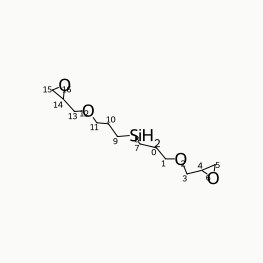 C(COCC1CO1)C[SiH2]CCCOCC1CO1